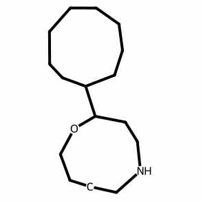 C1CCCCC(C2CCNCCCCO2)CCC1